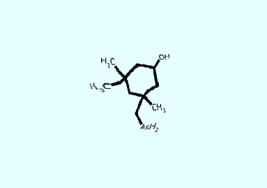 CC1(C)CC(O)CC(C)(C[AsH2])C1